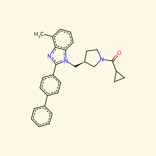 Cc1cccc2c1nc(-c1ccc(-c3ccccc3)cc1)n2C[C@H]1CCN(C(=O)C2CC2)C1